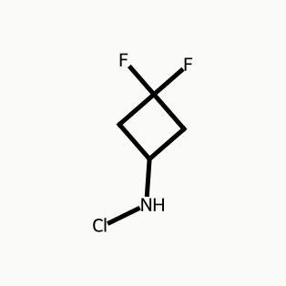 FC1(F)CC(NCl)C1